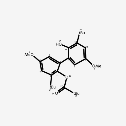 COc1cc(-c2cc(OC)cc(C(C)(C)C)c2OC(=O)C(C)(C)C)c(O)c(C(C)(C)C)c1